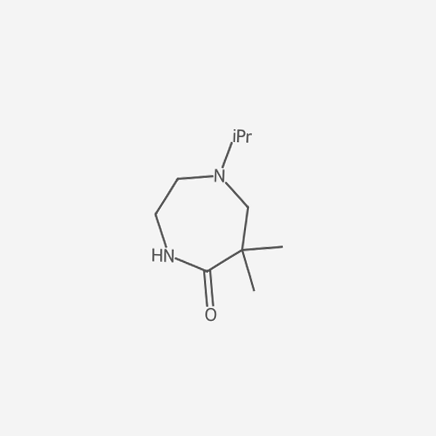 CC(C)N1CCNC(=O)C(C)(C)C1